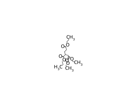 CCCOC(=O)CCC(CP(OCC)OOCC)C(=O)OCCC